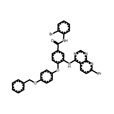 CC(C)c1ccc2c(Nc3cc(C(=O)Nc4ccccc4Br)ccc3Oc3ccc(OCc4ccccc4)cc3)ncnc2n1